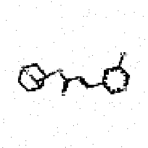 O=C(C=Cc1cncc(O)c1)NC1CN2CCC1CC2